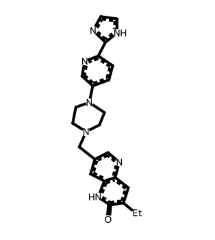 CCc1cc2ncc(CN3CCN(c4ccc(-c5ncc[nH]5)nc4)CC3)cc2[nH]c1=O